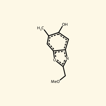 COCc1nc2cc(O)c(C)cc2o1